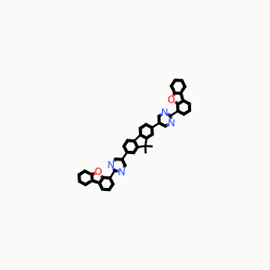 CC1(C)c2cc(-c3cnc(-c4cccc5c4oc4ccccc45)nc3)ccc2-c2ccc(-c3cnc(-c4cccc5c4oc4ccccc45)nc3)cc21